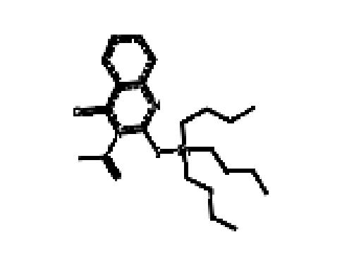 C=C(C)n1c([S][Sn]([CH2]CCC)([CH2]CCC)[CH2]CCC)nc2ccccc2c1=O